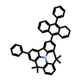 CC1(C)c2cccc3c2-n2c4c1cc(-c1ccccc1)cc4c1cc(-c4c5c(c(-c6ccccc6)c6ccccc46)CCC=C5)cc(c12)C3(C)C